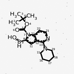 CC(C)(C)OC(=O)n1c(BO)cc2c(N3CCCCC3)nccc21